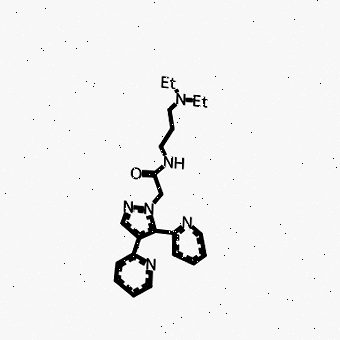 CCN(CC)CCCNC(=O)Cn1ncc(-c2ccccn2)c1-c1ccccn1